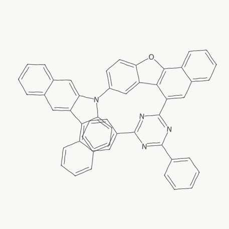 c1ccc(-c2nc(-c3ccccc3)nc(-c3cc4ccccc4c4oc5ccc(-n6c7cc8ccccc8cc7c7c8ccccc8ccc76)cc5c34)n2)cc1